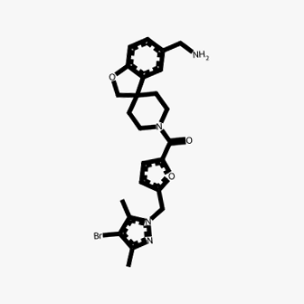 Cc1nn(Cc2ccc(C(=O)N3CCC4(CC3)COc3ccc(CN)cc34)o2)c(C)c1Br